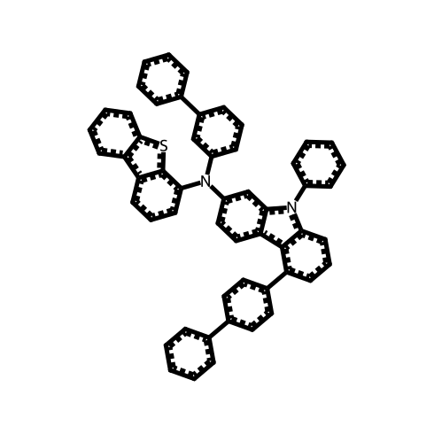 c1ccc(-c2ccc(-c3cccc4c3c3ccc(N(c5cccc(-c6ccccc6)c5)c5cccc6c5sc5ccccc56)cc3n4-c3ccccc3)cc2)cc1